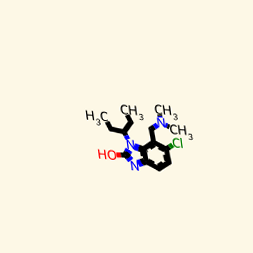 CCC(CC)n1c(O)nc2ccc(Cl)c(CN(C)C)c21